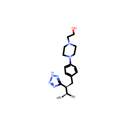 CCC[C@H](C(C)=O)[C@H](Cc1ccc(N2CCN(CCO)CC2)cc1)c1nn[nH]n1